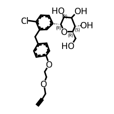 C#CCOCCOc1ccc(Cc2cc([C@H]3O[C@H](CO)[C@@H](O)C(O)[C@H]3O)ccc2Cl)cc1